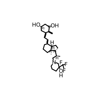 C=C1C(=CC=C2CCC[C@]3(C)[C@@H]([C@@H](C)CN4CCCC(O)(C(F)(F)F)C4)CC[C@@H]23)C[C@@H](O)C[C@@H]1O